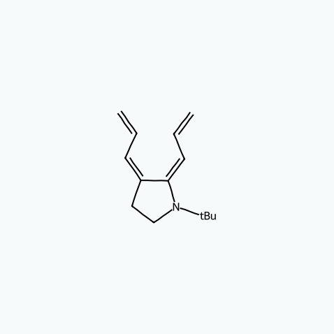 C=C/C=C1/CCN(C(C)(C)C)/C1=C/C=C